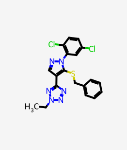 CCn1nnc(-c2cnn(-c3cc(Cl)ccc3Cl)c2SCc2ccccc2)n1